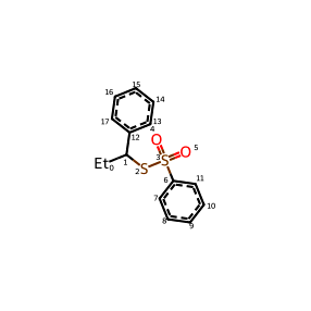 CCC(SS(=O)(=O)c1ccccc1)c1ccccc1